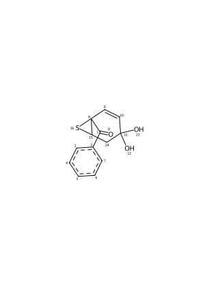 O=C(c1ccccc1)C12C=CC(O)(O)CC1S2